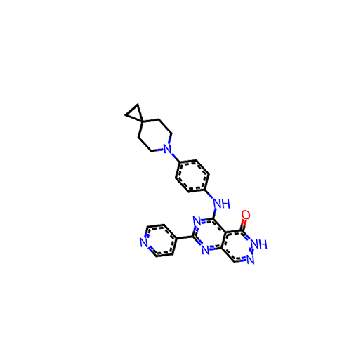 O=c1[nH]ncc2nc(-c3ccncc3)nc(Nc3ccc(N4CCC5(CC4)CC5)cc3)c12